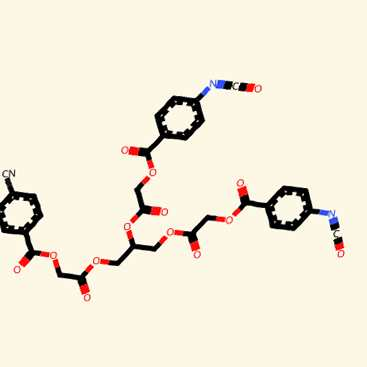 N#Cc1ccc(C(=O)OCC(=O)OCC(COC(=O)COC(=O)c2ccc(N=C=O)cc2)OC(=O)COC(=O)c2ccc(N=C=O)cc2)cc1